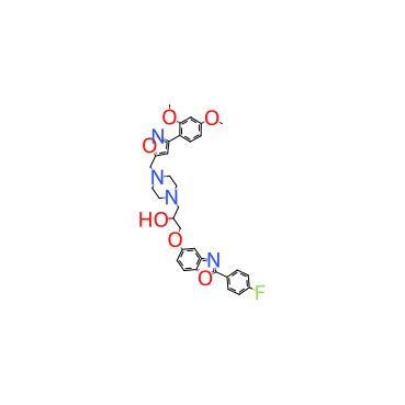 COc1ccc(-c2cc(CN3CCN(C[C@H](O)COc4ccc5oc(-c6ccc(F)cc6)nc5c4)CC3)on2)c(OC)c1